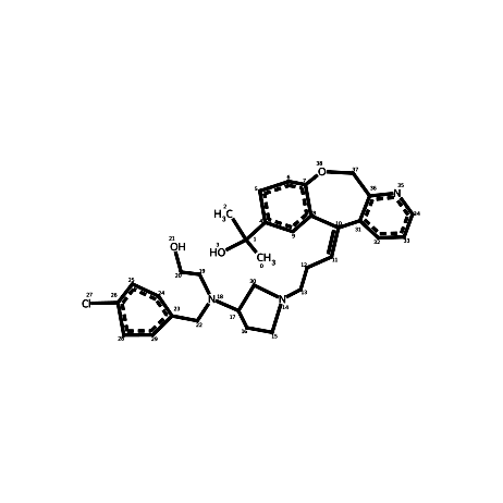 CC(C)(O)c1ccc2c(c1)C(=CCCN1CCC(N(CCO)Cc3ccc(Cl)cc3)C1)c1cccnc1CO2